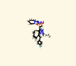 Cn1nc(C=CS(=O)(=O)NN2CCCCC2)c2c1C(Cc1ccc(F)cc1)CCCC2